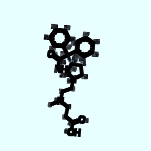 CN(CCC(=O)O)CCN1CC[C@@H](C(C(N)=O)(c2ccccc2)c2ccccc2)C1